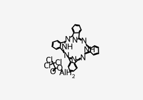 O=C([O][AlH2])C(Cl)(Cl)Cl.c1ccc2c(c1)-c1nc-2nc2[nH]c(nc3nc(nc4[nH]c(n1)c1ccccc41)-c1ccccc1-3)c1ccccc21